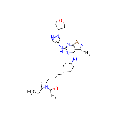 CCC1CC(CCCC[C@H]2CC[C@H](Nc3nc(Nc4cnn(C5CCOCC5)c4)nc4snc(C)c34)CC2)N1C(C)=O